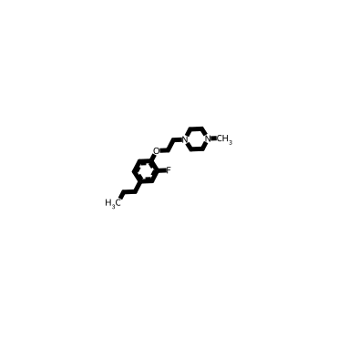 CCCc1ccc(OCCN2CCN(C)CC2)c(F)c1